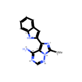 CSc1nc(-c2cc3ccccc3[nH]2)c2c(N)ncnn12